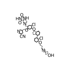 N#Cc1cncc(COc2cc(O[C@H]3CCc4c(-c5cccc(OCCCN6CC7(CC(O)C7)C6)c5Cl)cccc43)c(Cl)cc2CN2CCC3(C2)NC(=O)NC3=O)c1